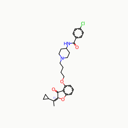 C/C(=C1\Oc2cccc(OCCCCN3CCC(NC(=O)c4ccc(Cl)cc4)CC3)c2C1=O)C1CC1